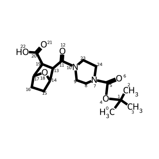 CC(C)(C)OC(=O)N1CCN(C(=O)C2C3CCC(O3)C2C(=O)O)CC1